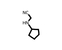 N#CCNC1CCCC1